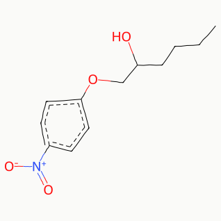 CCCCC(O)COc1ccc([N+](=O)[O-])cc1